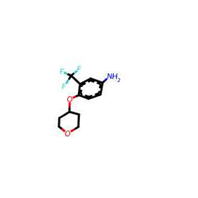 Nc1ccc(OC2CCOCC2)c(C(F)(F)F)c1